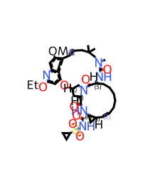 CCOc1cc2c3cc(c(OC)cc3n1)/C=C/CC(C)(C)CN(C)C(=O)N[C@H]1CCCCC/C=C\[C@@H]3C[C@@]3(C(=O)NS(=O)(=O)C3CC3)NC(=O)[C@@H]3C[C@H](CN3C1=O)O2